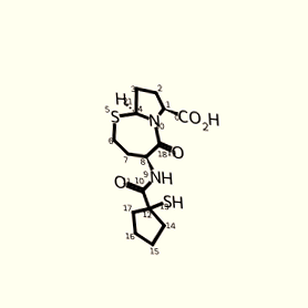 O=C(O)[C@@H]1CC[C@@H]2SCC[C@H](NC(=O)C3(S)CCCC3)C(=O)N21